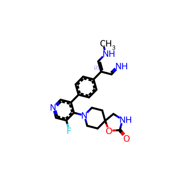 CN/C=C(\C=N)c1ccc(-c2cncc(F)c2N2CCC3(CC2)CNC(=O)O3)cc1